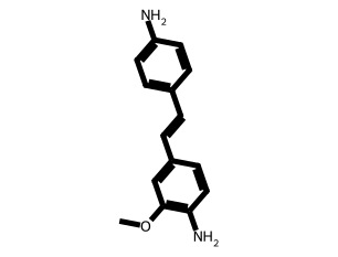 COc1cc(C=Cc2ccc(N)cc2)ccc1N